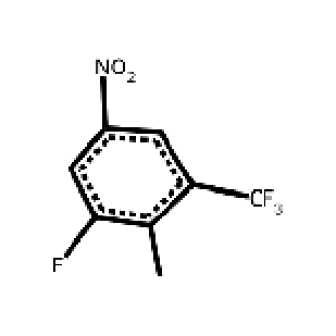 Cc1c(F)cc([N+](=O)[O-])cc1C(F)(F)F